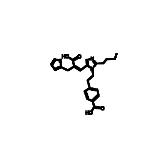 CCCCc1ncc(C=C(Cc2cccs2)C(=O)O)n1CCc1ccc(C(=O)O)cc1